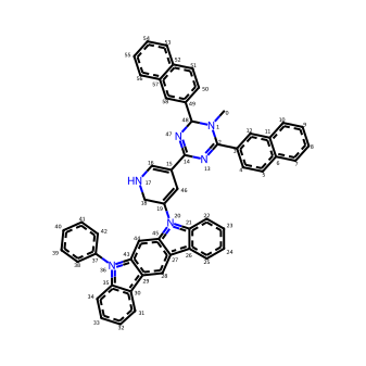 CN1C(c2ccc3ccccc3c2)=NC(C2=CNCC(n3c4ccccc4c4cc5c6ccccc6n(-c6ccccc6)c5cc43)=C2)=NC1c1ccc2ccccc2c1